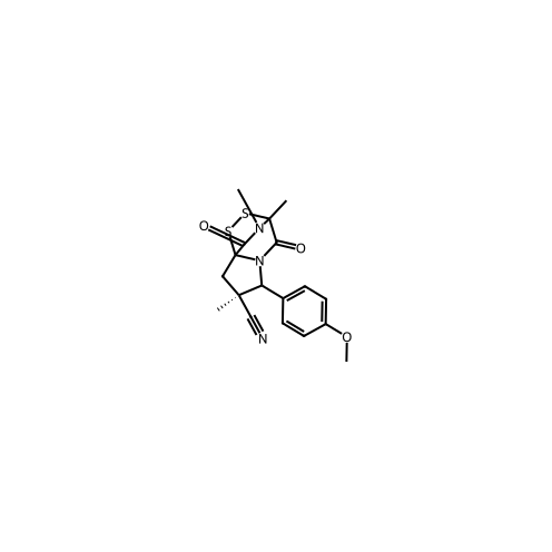 COc1ccc(C2N3C(=O)C4(C)SSC3(C[C@]2(C)C#N)C(=O)N4C)cc1